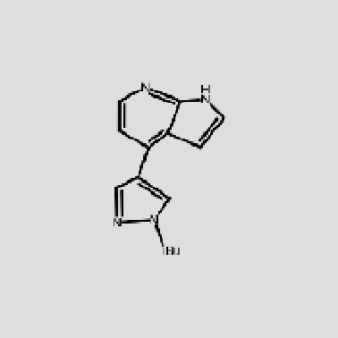 CCC(C)n1cc(-c2ccnc3[nH]ccc23)cn1